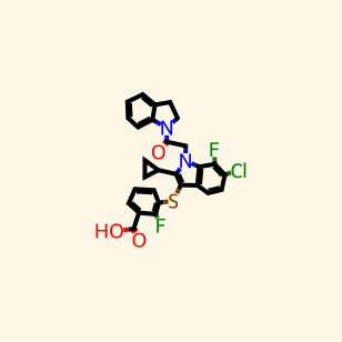 O=C(O)c1cccc(Sc2c(C3CC3)n(CC(=O)N3CCc4ccccc43)c3c(F)c(Cl)ccc23)c1F